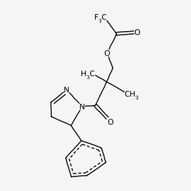 CC(C)(COC(=O)C(F)(F)F)C(=O)N1N=CCC1c1ccccc1